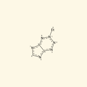 CCn1nnc2ncnc-2n1